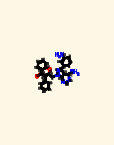 Nc1cccc(-c2nn(Cc3oc4ccccc4c(=O)c3-c3ccccc3)c3ncnc(N)c23)c1